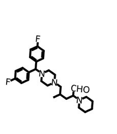 CC(CC(C=O)N1CCCCC1)CN1CCN(C(c2ccc(F)cc2)c2ccc(F)cc2)CC1